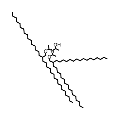 CCCCCCCCCCCCCCCCC(CCCCCCCCCCCCCCCC)COC(C)N(C(C)O)C(C)OCC(CCCCCCCCCCCCCCCC)CCCCCCCCCCCCCCCC